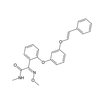 CNC(=O)C(=NOC)c1ccccc1Oc1cccc(OC=Cc2ccccc2)c1